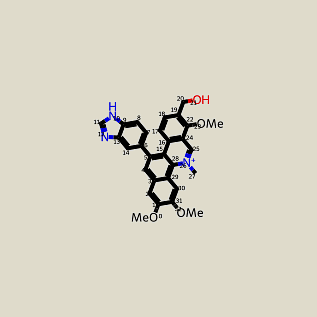 COc1cc2cc(-c3ccc4[nH]cnc4c3)c3c4ccc(CO)c(OC)c4c[n+](C)c3c2cc1OC